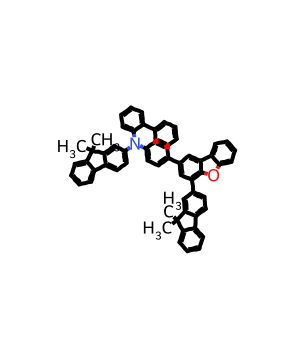 CC1(C)c2ccccc2-c2ccc(-c3cc(-c4ccc(N(c5ccc6c(c5)C(C)(C)c5ccccc5-6)c5ccccc5-c5ccccc5)cc4)cc4c3oc3ccccc34)cc21